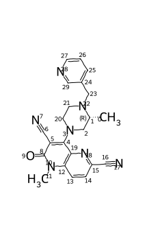 C[C@@H]1CN(c2c(C#N)c(=O)n(C)c3ccc(C#N)nc23)CCN1Cc1cccnc1